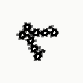 CC(C)c1ccccc1-[n+]1ccc(-c2cc[n+](Cc3ccccc3-c3ccccc3C[n+]3ccc(-c4cc[n+](-c5ccccc5C(C)C)cc4)cc3)cc2)cc1